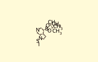 CC1(C)OB(c2cncc3c2ccn3SI)OC1(C)C